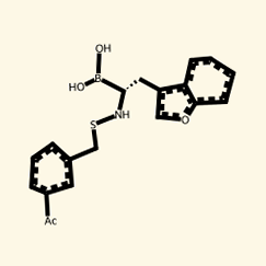 CC(=O)c1cccc(CSN[C@@H](Cc2coc3ccccc23)B(O)O)c1